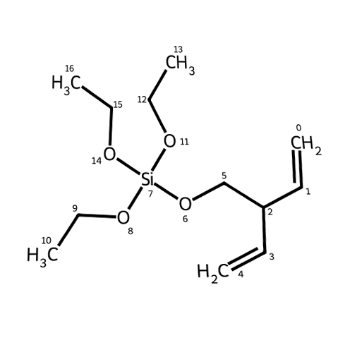 C=CC(C=C)CO[Si](OCC)(OCC)OCC